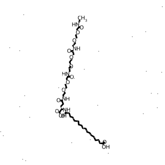 CCNC(=O)COCCOCCNC(=O)COCCOCCNC(=O)COCCOCCNC(=O)CC[C@H](NC(=O)CCCCCCCCCCCCCCCCC(=O)O)C(=O)O